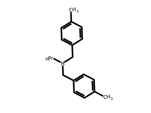 CCCN(Cc1ccc(C)cc1)Cc1ccc(C)cc1